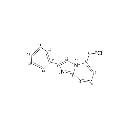 ClCc1cccc2nc(-c3ccccc3)cn12